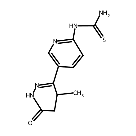 CC1CC(=O)NN=C1c1ccc(NC(N)=S)nc1